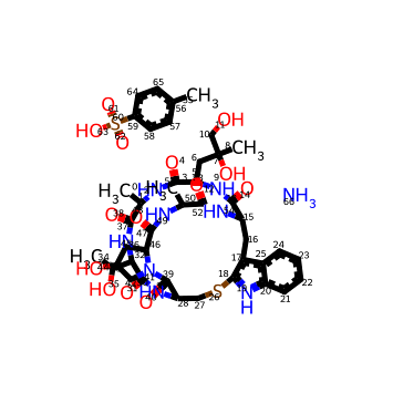 CC1NC(=O)C(CC(C)(O)CO)NC(=O)C2Cc3c([nH]c4ccccc34)SCC(NC(=O)C(C(C)O)NC1=O)C(=O)N1CC(O)CC1C(=O)NC(C)C(=O)N2.Cc1ccc(S(=O)(=O)O)cc1.N